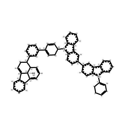 C1=CCCC(n2c3ccccc3c3cc(-c4ccc5c(c4)c4ccccc4n5C4C=CC(c5cccc(C6CC=C7c8ccccc8C8=CC=CC6[C@@H]87)c5)=CC4)ccc32)=C1